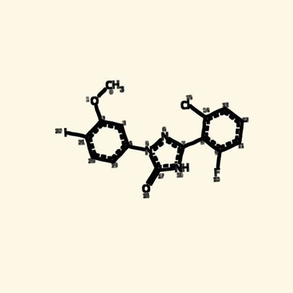 COc1cc(-n2nc(-c3c(F)cccc3Cl)[nH]c2=O)ccc1I